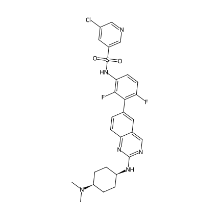 CN(C)[C@H]1CC[C@@H](Nc2ncc3cc(-c4c(F)ccc(NS(=O)(=O)c5cncc(Cl)c5)c4F)ccc3n2)CC1